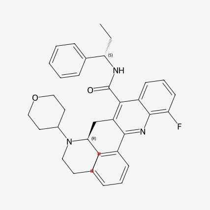 CC[C@H](NC(=O)c1c(C[C@H]2CCCCN2C2CCOCC2)c(-c2ccccc2)nc2c(F)cccc12)c1ccccc1